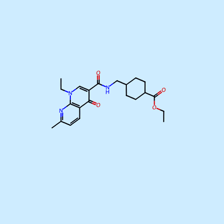 CCOC(=O)C1CCC(CNC(=O)c2cn(CC)c3nc(C)ccc3c2=O)CC1